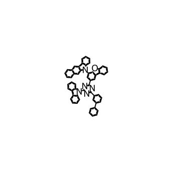 c1ccc(-c2cccc(-c3nc(-c4cc(-n5c6ccccc6c6cc7ccccc7cc65)c5oc6ccccc6c5c4)nc(-n4c5ccccc5c5ccccc54)n3)c2)cc1